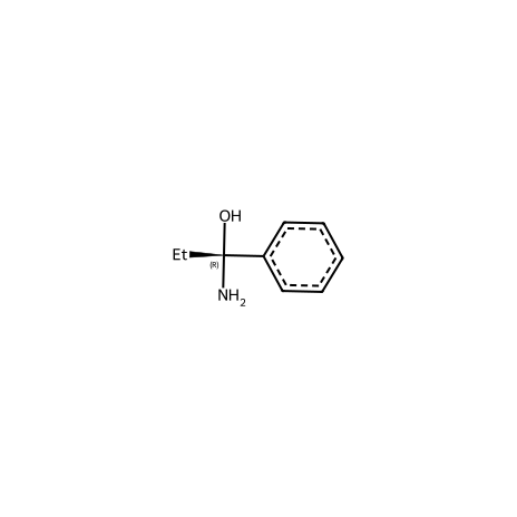 CC[C@@](N)(O)c1ccccc1